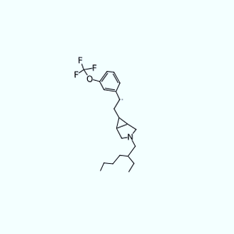 CCCCC(CC)CN1CC2C(C[CH]c3cccc(OC(F)(F)F)c3)C2C1